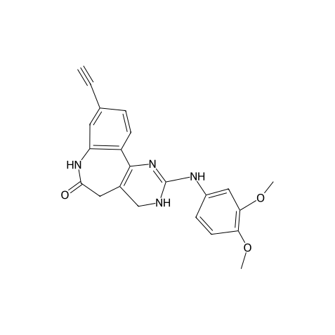 C#Cc1ccc2c(c1)NC(=O)CC1=C2N=C(Nc2ccc(OC)c(OC)c2)NC1